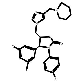 O=C1O[C@@H](Cn2cc(CN3CCCCC3)nn2)[C@H](c2cc(F)cc(F)c2)N1c1ccc(Cl)cc1